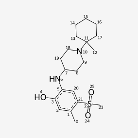 Cc1cc(O)c(NC2CCN(C3(C)CCCCC3)CC2)cc1S(C)(=O)=O